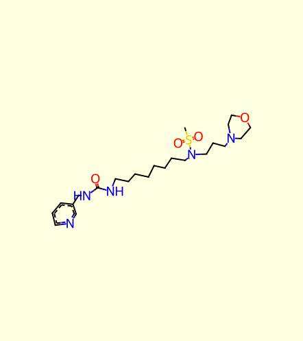 CS(=O)(=O)N(CCCCCCCCNC(=O)NCc1cccnc1)CCCN1CCOCC1